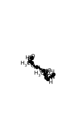 Cc1c(OCCCN2CCN(CCOc3ccc4c(C5CCC(=O)NC5=O)nn(C)c4c3)CC2)cccc1-c1ccc(N2CCc3cccc(C(=O)Nc4nc5ccccc5s4)c3C2)nc1C(=O)OC(C)(C)C